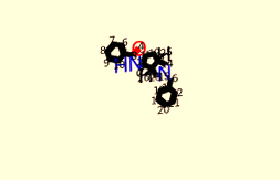 C[C@@]1(NC(=O)c2ccccc2)CC[C@@H]2CN(Cc3ccccc3)C[C@@H]21